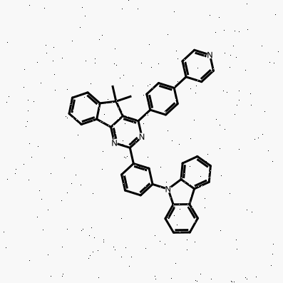 CC1(C)c2ccccc2-c2nc(-c3cccc(-n4c5ccccc5c5ccccc54)c3)nc(-c3ccc(-c4ccncc4)cc3)c21